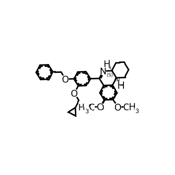 COc1cc2c(cc1OC)[C@@H]1CCCC[C@@H]1N=C2c1ccc(OCc2ccccc2)c(OCC2CC2)c1